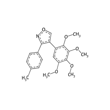 COc1cc(-c2conc2-c2ccc(C)cc2)c(OC)c(OC)c1OC